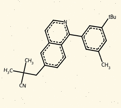 Cc1cc(-c2nccc3cc(CC(C)(C)C#N)ccc23)cc(C(C)(C)C)c1